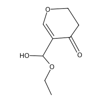 CCOC(O)C1=COCCC1=O